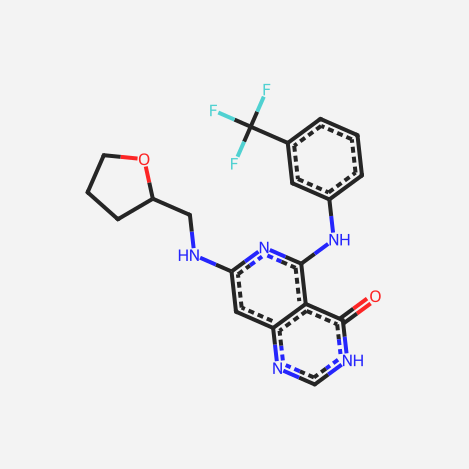 O=c1[nH]cnc2cc(NCC3CCCO3)nc(Nc3cccc(C(F)(F)F)c3)c12